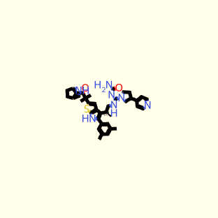 Cc1cc(C)cc(-c2[nH]c3sc(C(C)(C)C(=O)C4C5CCC4NC5)cc3c2[C@H](C)CNC(=NC(N)=O)N2CCC(c3ccncc3)C2)c1